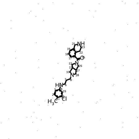 Cc1ccc(NCCCN2CC3CN(C(=O)c4cccc5c4CCNC5)CC3C2)cc1Cl